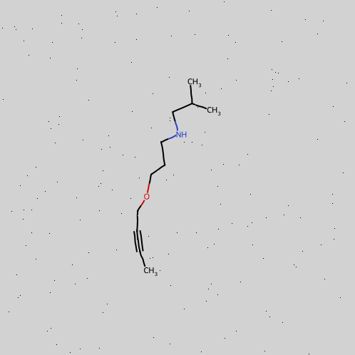 CC#CCOCCCNCC(C)C